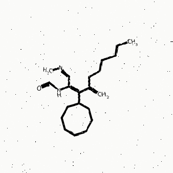 C=C(CCCCCC)/C(=C(\C=N/C)NC=O)C1CCCCCCC1